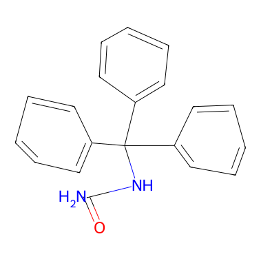 NC(=O)NC(c1ccccc1)(c1ccccc1)c1ccccc1